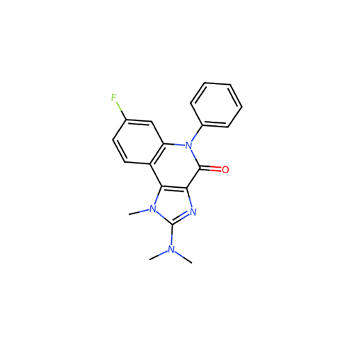 CN(C)c1nc2c(=O)n(-c3ccccc3)c3cc(F)ccc3c2n1C